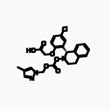 Cc1cnn(COC(=O)ON2CCc3ccccc3[C@H]2c2cc(Cl)ccc2OCC(=O)O)c1